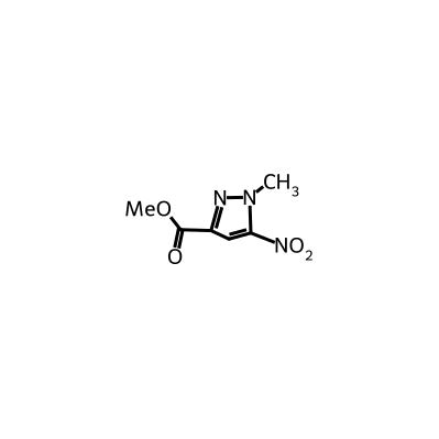 COC(=O)c1cc([N+](=O)[O-])n(C)n1